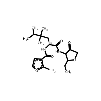 CCC1OCC(=O)C1NC(=O)[C@H](CC(C)(C)C(C)C)NC(=O)c1ccoc1C